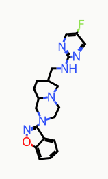 Fc1cnc(NCC2CCC3CN(c4noc5ccccc45)CCN3C2)nc1